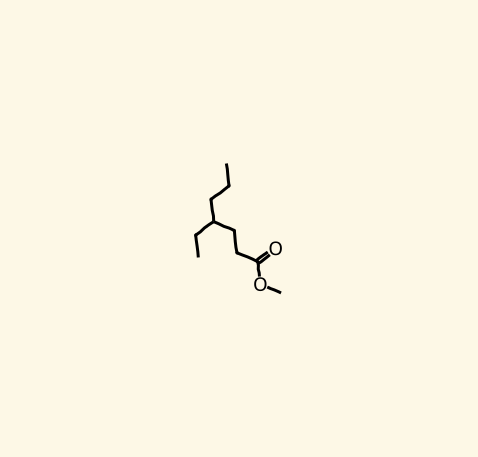 CCCC(CC)CCC(=O)OC